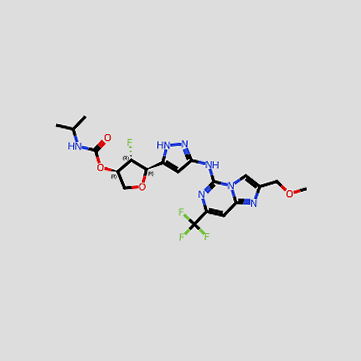 COCc1cn2c(Nc3cc([C@H]4OC[C@@H](OC(=O)NC(C)C)[C@@H]4F)[nH]n3)nc(C(F)(F)F)cc2n1